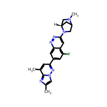 Cc1cn2nc(-c3cc(F)c4cc(N5CC6C[C@H]5CN6C)nnc4c3)cc(C)c2n1